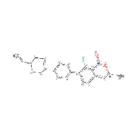 C=CC1CC=C(c2ccc(-c3ccc4cc(CCCC)oc(=O)c4c3F)cc2)CC1